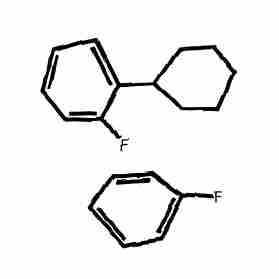 Fc1ccccc1.Fc1ccccc1C1CCCCC1